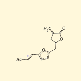 C=C1CC(Cc2ccc(/C=C/C(C)=O)o2)OC1=O